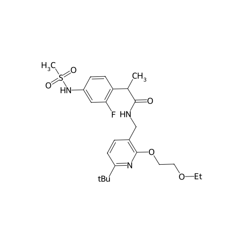 CCOCCOc1nc(C(C)(C)C)ccc1CNC(=O)C(C)c1ccc(NS(C)(=O)=O)cc1F